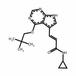 CC(C)(C)COc1ncnc2[nH]cc(C=CC(=O)NC3CC3)c12